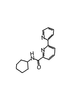 O=C(NC1CCCCC1)c1cccc(-c2ccccn2)n1